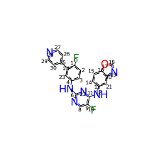 Fc1ccc(Nc2ncc(F)c(Nc3ccc4ocnc4c3)n2)cc1-c1ccncc1